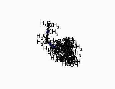 C=C(C/C=C(\C)CCC=C(C)C)CCC(C)(C)C/C=C/C/C(C)=C\CO[C@H](COP(=O)(O)O[C@H]1O[C@H](C(N)=O)[C@@](C)(O)[C@H](OC(N)=O)[C@H]1O[C@@H]1O[C@H](CO[C@@H]2O[C@H](CO)[C@@H](O)[C@H](O)[C@H]2O)[C@@H](O[C@@H]2O[C@H](C)[C@@H](O[C@@H]3O[C@H](C(N)=O)[C@@H](O)[C@H](O)[C@H]3O)[C@H](O)[C@H]2NC(C)=O)[C@H](O)[C@H]1NC(C)=O)C(=O)O